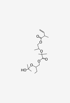 C=CC(C)C(=O)OCC(C)OC(C)(C)C(=O)OCC(CC)OC(C)(C)O